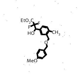 CCOC(=O)C(F)(F)C(O)c1ccc(C)c(COCc2ccc(OC)cc2)c1